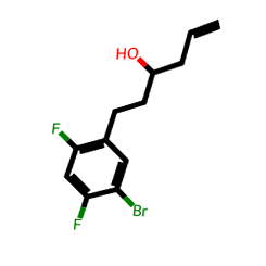 C=CCC(O)CCc1cc(Br)c(F)cc1F